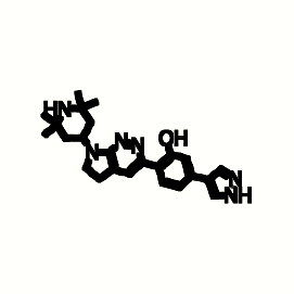 CC1(C)CC(N2CCc3cc(-c4ccc(-c5cn[nH]c5)cc4O)nnc32)CC(C)(C)N1